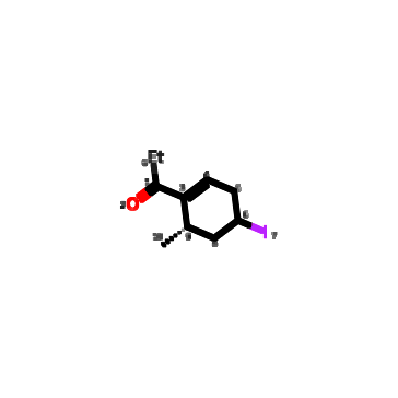 CCC(=O)C1=CCC(I)C[C@@H]1C